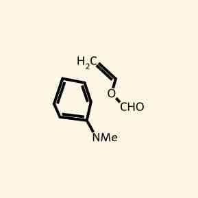 C=COC=O.CNc1ccccc1